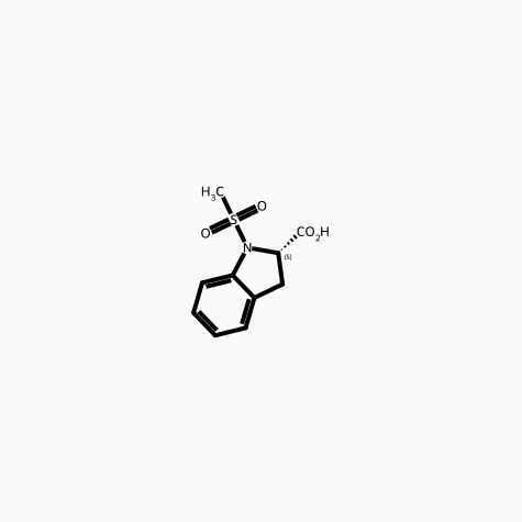 CS(=O)(=O)N1c2ccccc2C[C@H]1C(=O)O